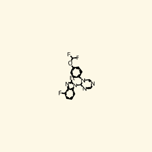 CCc1nc2c(F)cccc2n1C1N=CN=CN1c1ccc(OC(F)F)cc1